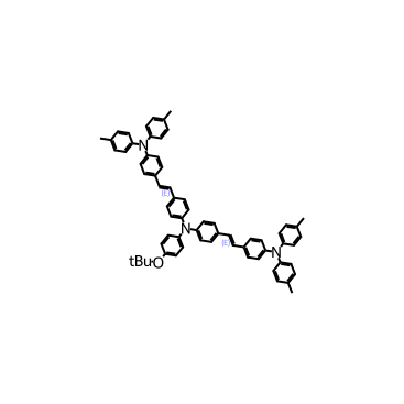 Cc1ccc(N(c2ccc(C)cc2)c2ccc(/C=C/c3ccc(N(c4ccc(/C=C/c5ccc(N(c6ccc(C)cc6)c6ccc(C)cc6)cc5)cc4)c4ccc(OC(C)(C)C)cc4)cc3)cc2)cc1